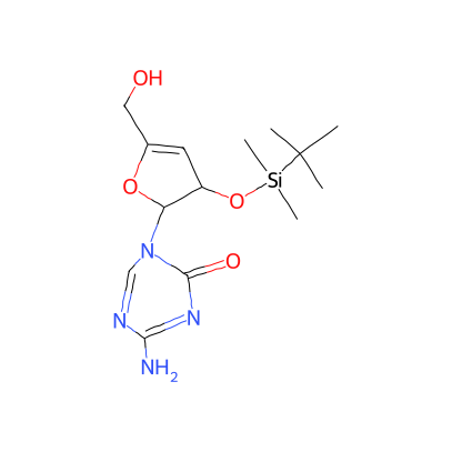 CC(C)(C)[Si](C)(C)OC1C=C(CO)OC1n1cnc(N)nc1=O